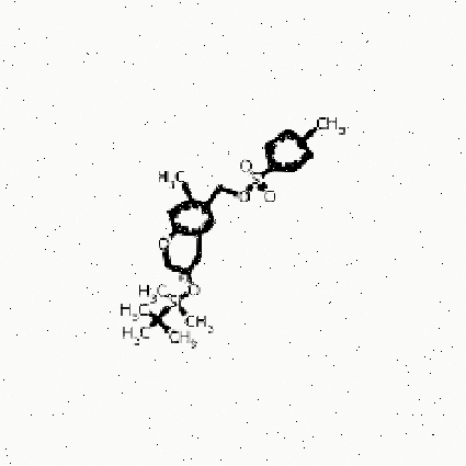 Cc1ccc(S(=O)(=O)OCc2cc3c(cc2C)OC[C@H](O[Si](C)(C)C(C)(C)C)C3)cc1